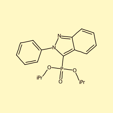 CC(C)OP(=O)(OC(C)C)c1c2ccccc2nn1-c1ccccc1